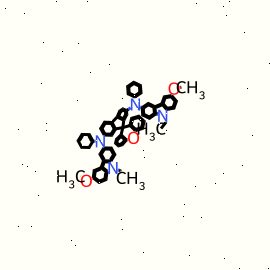 CCn1c2ccc(OC)cc2c2cc(N(C3=CC=CCC3)c3ccc4c(c3)C3(c5ccccc5Oc5ccccc53)c3cc(N(c5ccccc5)c5ccc6c(c5)c5cc(OC)ccc5n6CC)ccc3-4)ccc21